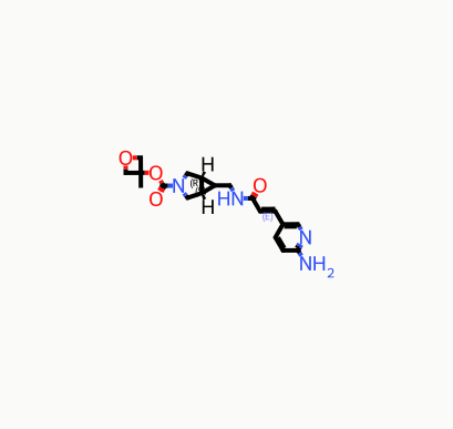 CC1(OC(=O)N2C[C@@H]3C(CNC(=O)/C=C/c4ccc(N)nc4)[C@@H]3C2)COC1